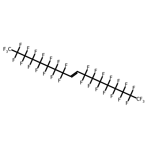 FC(F)(F)C(F)(F)C(F)(F)C(F)(F)C(F)(F)C(F)(F)C(F)(F)C(F)(F)C=CC(F)(F)C(F)(F)C(F)(F)C(F)(F)C(F)(F)C(F)(F)C(F)(F)C(F)(F)F